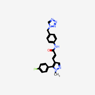 Cn1ncc(C=CC(=O)Nc2ccc(Cn3cnnn3)cc2)c1-c1ccc(F)cc1